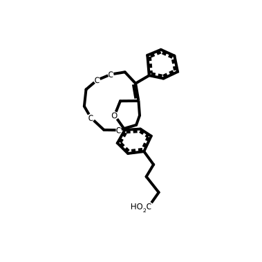 O=C(O)CCCc1ccc(OC/C2=C(/c3ccccc3)CCCCCCCCCC2)cc1